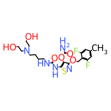 Cc1cc(F)c(COc2nsc(NC(=O)NCCCCN(CCO)CCO)c2OC(N)=O)c(F)c1